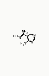 NC(=NO)c1cncnc1N